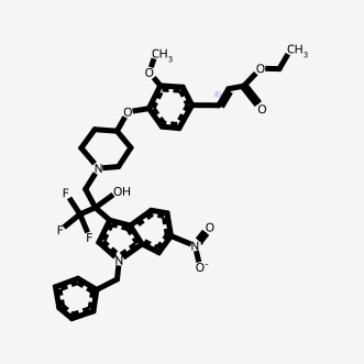 CCOC(=O)/C=C/c1ccc(OC2CCN(CC(O)(c3cn(Cc4ccccc4)c4cc([N+](=O)[O-])ccc34)C(F)(F)F)CC2)c(OC)c1